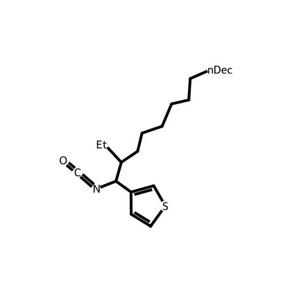 CCCCCCCCCCCCCCCCC(CC)C(N=C=O)c1ccsc1